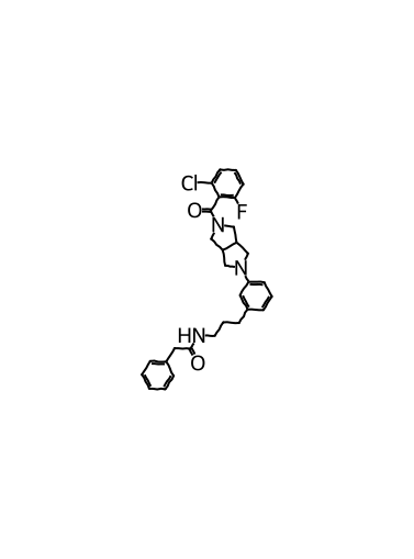 O=C(Cc1ccccc1)NCCCc1cccc(N2CC3CN(C(=O)c4c(F)cccc4Cl)CC3C2)c1